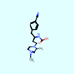 C[C@H]1CN(C)CCN1CCC(Cc1ccc(C#N)cc1)NC(=O)O